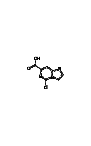 O=C(O)c1cc2nccn2c(Cl)n1